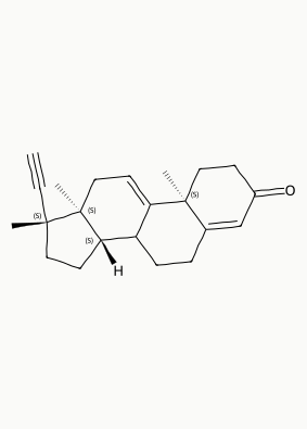 C#C[C@@]1(C)CC[C@H]2C3CCC4=CC(=O)CC[C@]4(C)C3=CC[C@@]21C